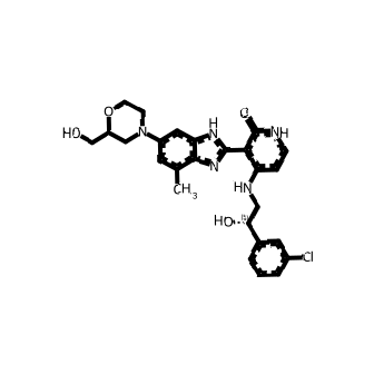 Cc1cc(N2CCOC(CO)C2)cc2[nH]c(-c3c(NC[C@@H](O)c4cccc(Cl)c4)cc[nH]c3=O)nc12